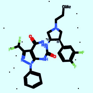 COCCN1C[C@@H](NC(=O)Nc2c(C(N)=O)c(C(F)F)nn2-c2ccccc2)[C@H](c2ccc(F)c(F)c2)C1